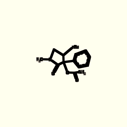 CCCCC1CN(C(F)(F)F)C(=O)C1(OC(N)=O)c1ccccc1